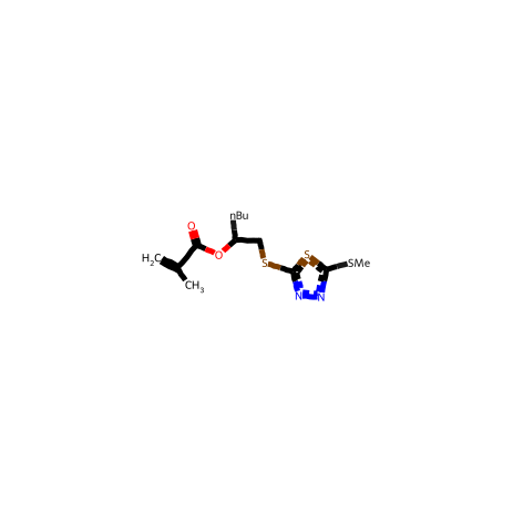 C=C(C)C(=O)OC(CCCC)CSc1nnc(SC)s1